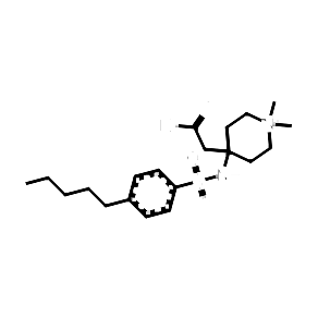 CCCCCc1ccc(S(=O)(=O)NC2(CC(=O)O)CC[N+](C)(C)CC2)cc1